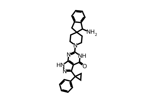 NC1c2ccccc2CC12CCN(c1nc3[nH]nc(C4(c5ccccc5)CC4)c3c(=O)[nH]1)CC2